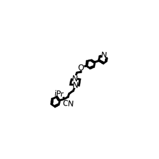 CC(C)C(C#N)(CCCN1CCN(CCOc2ccc(-c3cccnc3)cc2)CC1)c1ccccc1